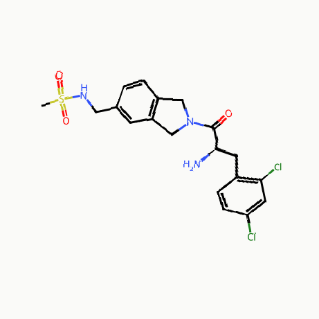 CS(=O)(=O)NCc1ccc2c(c1)CN(C(=O)[C@H](N)Cc1ccc(Cl)cc1Cl)C2